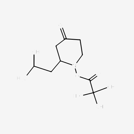 CC(C)CC1CC(=O)CCN1OC(=O)C(C)(C)C